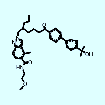 CCCC(CCCC(=O)c1ccc(-c2ccc(C(C)(C)O)cc2)cc1)Cn1cc2c(C)c(C(=O)NCCOC)ccc2n1